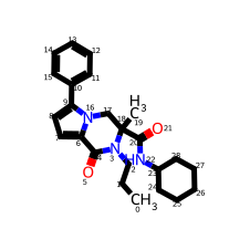 CCCN1C(=O)c2ccc(-c3ccccc3)n2CC1(C)C(=O)NC1CCCCC1